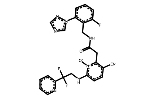 N#Cc1ccc(NCC(F)(F)c2ccccn2)[n+]([O-])c1CC(=O)NCc1c(F)cccc1-n1cncn1